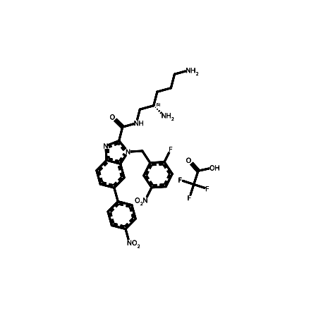 NCCC[C@H](N)CNC(=O)c1nc2ccc(-c3ccc([N+](=O)[O-])cc3)cc2n1Cc1cc([N+](=O)[O-])ccc1F.O=C(O)C(F)(F)F